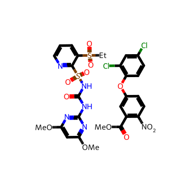 CCS(=O)(=O)c1cccnc1S(=O)(=O)NC(=O)Nc1nc(OC)cc(OC)n1.COC(=O)c1cc(Oc2ccc(Cl)cc2Cl)ccc1[N+](=O)[O-]